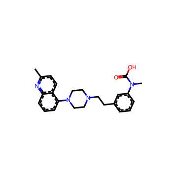 Cc1ccc2c(N3CCN(CCc4cccc(N(C)C(=O)O)c4)CC3)cccc2n1